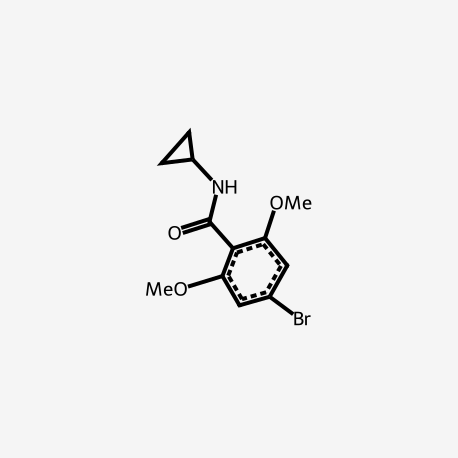 COc1cc(Br)cc(OC)c1C(=O)NC1CC1